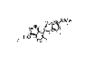 CNc1ncc2cc(-c3c(C)ccc4c(O)nncc34)ccc2n1